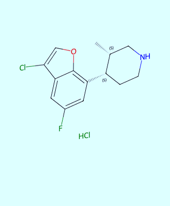 C[C@@H]1CNCC[C@@H]1c1cc(F)cc2c(Cl)coc12.Cl